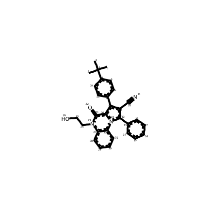 CC(C)(C)c1ccc(-c2c(C#N)c(-c3ccccc3)n3c2c(=O)n(CCO)c2ccccc23)cc1